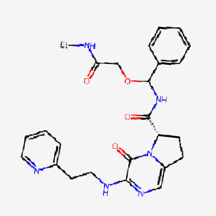 CCNC(=O)COC(NC(=O)[C@@H]1CCc2cnc(NCCc3ccccn3)c(=O)n21)c1ccccc1